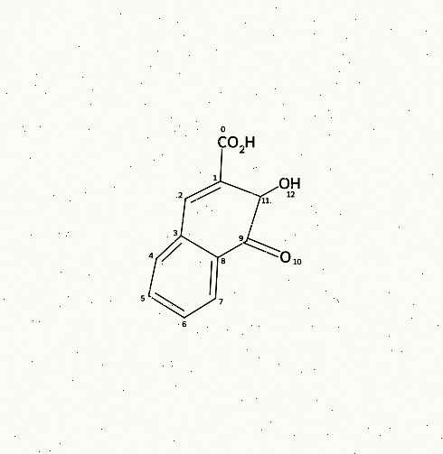 O=C(O)C1=Cc2ccccc2C(=O)C1O